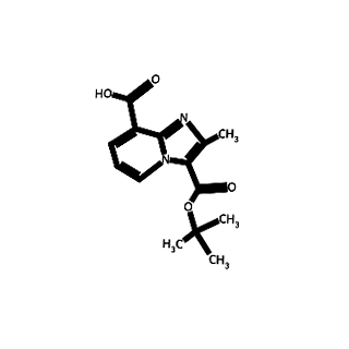 Cc1nc2c(C(=O)O)cccn2c1C(=O)OC(C)(C)C